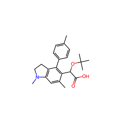 Cc1ccc(-c2c3c(cc(C)c2C(OC(C)(C)C)C(=O)O)N(C)CC3)cc1